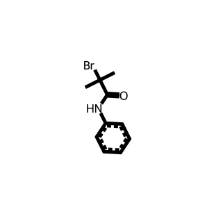 CC(C)(Br)C(=O)Nc1ccccc1